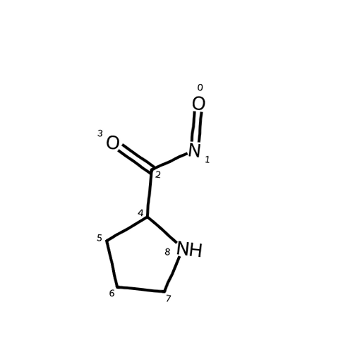 O=NC(=O)C1CCCN1